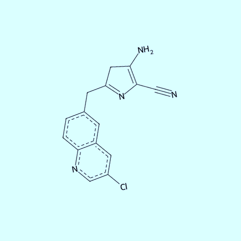 N#CC1=C(N)CC(Cc2ccc3ncc(Cl)cc3c2)=N1